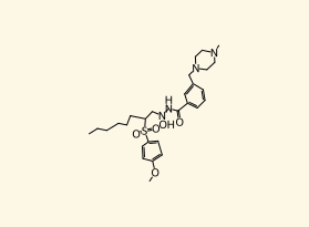 CCCCCCC(CN(O)NC(=O)c1cccc(CN2CCN(C)CC2)c1)S(=O)(=O)c1ccc(OC)cc1